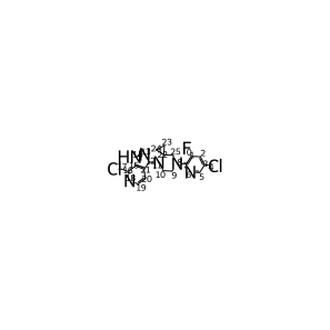 Fc1cc(Cl)cnc1N1CCN(c2n[nH]c3c(Cl)nccc23)C2(CC2)C1